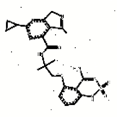 CC1=NCc2nc(C3CC3)cc(C(=O)NC(C)(C)COc3cccc4c3C(N)=NS(=O)(=O)N4)c21